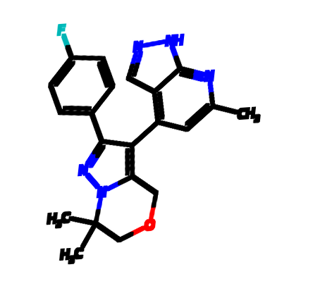 Cc1cc(-c2c(-c3ccc(F)cc3)nn3c2COCC3(C)C)c2cn[nH]c2n1